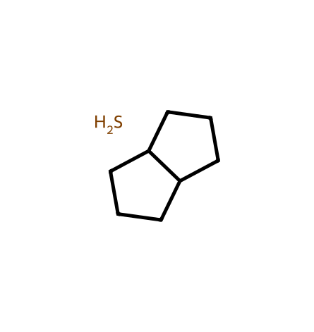 C1CC2CCCC2C1.S